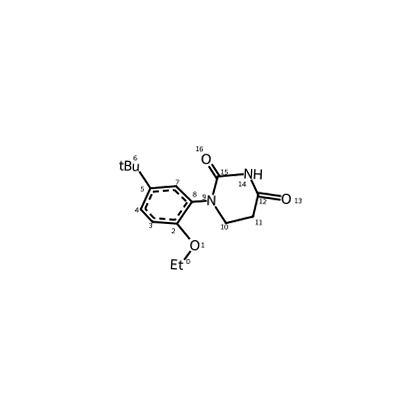 CCOc1ccc(C(C)(C)C)cc1N1CCC(=O)NC1=O